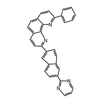 c1ccc(-c2ccc3ccc4ccc(-c5ccc6cc(-c7ncccn7)ccc6c5)nc4c3n2)cc1